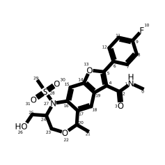 CNC(=O)c1c(-c2ccc(F)cc2)oc2cc3c(cc12)C(C)OCC(CO)N3S(C)(=O)=O